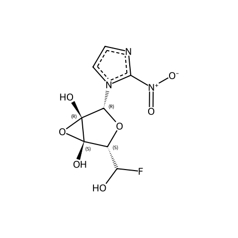 O=[N+]([O-])c1nccn1[C@@H]1O[C@H](C(O)F)[C@]2(O)O[C@]12O